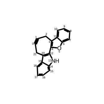 C1#CCc2c(oc3ccccc23)-c2[nH]c3ccccc3c2C1